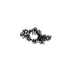 CCn1c(-c2cccnc2[C@H](C)OC)c2c3cc(ccc31)-c1csc(n1)C[C@H](NC(=O)[C@H](C(C)C)N(C)C(=O)N(C)[C@@H]1CCCN(C)C1)C(=O)N1CCCC(C=O)(COCC(C)(C)C2)N1